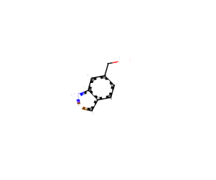 OCc1ccc2csnc2c1